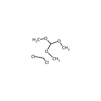 COC(OC)OC.ClCCl